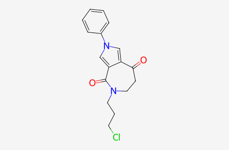 O=C1CCN(CCCCl)C(=O)c2cn(-c3ccccc3)cc21